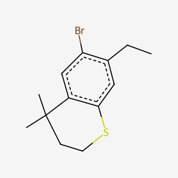 CCc1cc2c(cc1Br)C(C)(C)CCS2